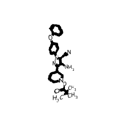 CC(C)(C)C(=O)ON1CCCC(c2nn(-c3ccc(Oc4ccccc4)cc3)c(C#N)c2N)C1